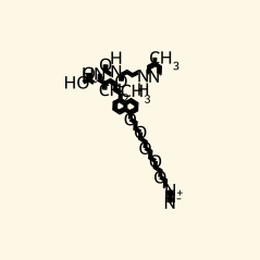 C=C(/C=C\C=C(/C)c1cccc2c(OCCOCCOCCOCCOCCN=[N+]=[N-])cccc12)[C@H](CC(=O)O)NC(=O)CNC(=O)CCCNc1cc(C)ccn1